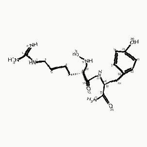 N=C(N)NCCCC[C@H](NO)C(=O)N[C@@H](Cc1ccc(O)cc1)C(N)=O